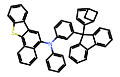 C1=C2CC(C2)C(C2(c3cccc(N(c4ccccc4)c4cc5c6ccccc6sc5c5ccccc45)c3)c3ccccc3-c3ccccc32)=C1